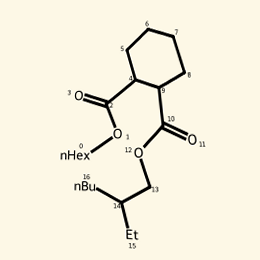 CCCCCCOC(=O)C1CCCCC1C(=O)OCC(CC)CCCC